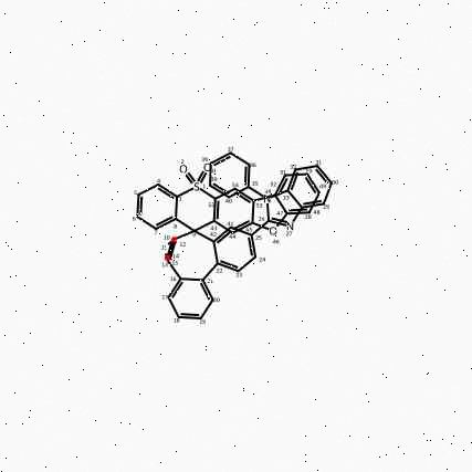 O=S1(=O)c2ccccc2C2(c3ccccc3-c3ccccc3-c3ccc(-c4nc5ccccc5n4-c4ccccc4)cc32)c2cc3oc4ccccc4c3cc21